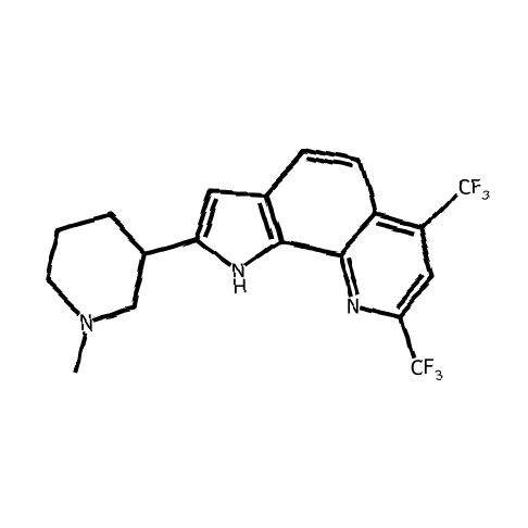 CN1CCCC(c2cc3ccc4c(C(F)(F)F)cc(C(F)(F)F)nc4c3[nH]2)C1